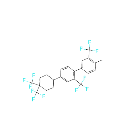 Cc1ccc(-c2ccc(C3CCC(C(F)(F)F)(C(F)(F)F)CC3)cc2C(F)(F)F)cc1C(F)(F)F